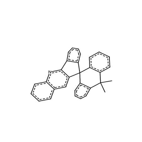 CC1(C)c2ccccc2C2(c3ccccc3-c3nc4ccccc4cc32)c2ccccc21